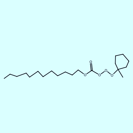 CCCCCCCCCCCCOC(=O)OOOC1(C)CCCCC1